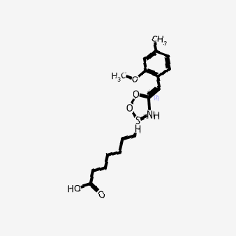 COc1cc(C)ccc1/C=C1/N[SH](CCCCCCC(=O)O)OO1